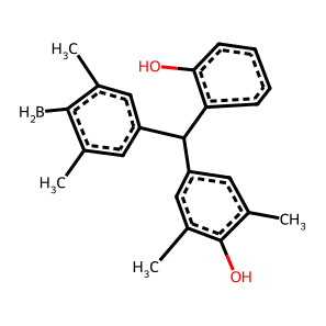 Bc1c(C)cc(C(c2cc(C)c(O)c(C)c2)c2ccccc2O)cc1C